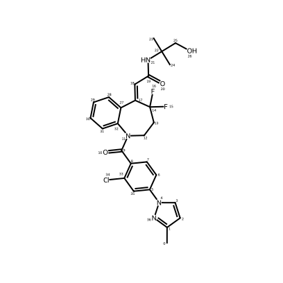 Cc1ccn(-c2ccc(C(=O)N3CCC(F)(F)C(=CC(=O)NC(C)(C)CO)c4ccccc43)c(Cl)c2)n1